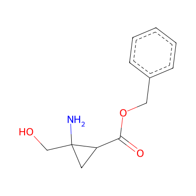 NC1(CO)CC1C(=O)OCc1ccccc1